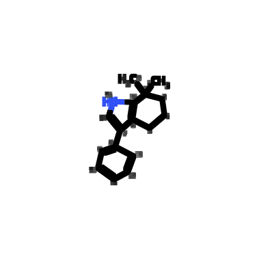 CC1(C)CCCc2c(-c3ccccc3)c[nH]c21